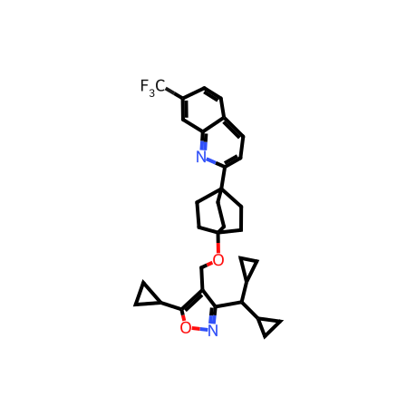 FC(F)(F)c1ccc2ccc(C34CCC(OCc5c(C(C6CC6)C6CC6)noc5C5CC5)(CC3)CC4)nc2c1